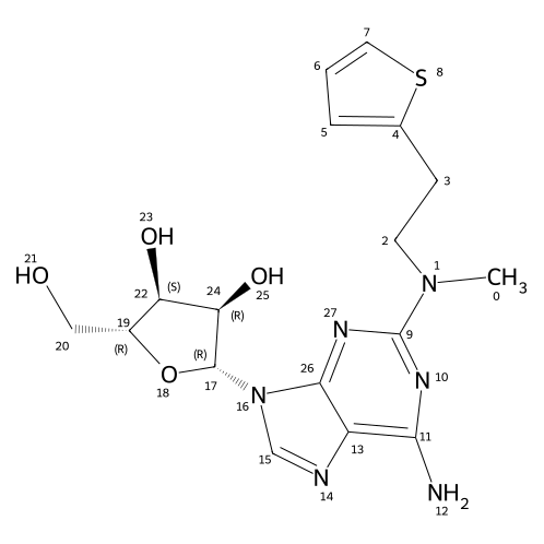 CN(CCc1cccs1)c1nc(N)c2ncn([C@@H]3O[C@H](CO)[C@@H](O)[C@H]3O)c2n1